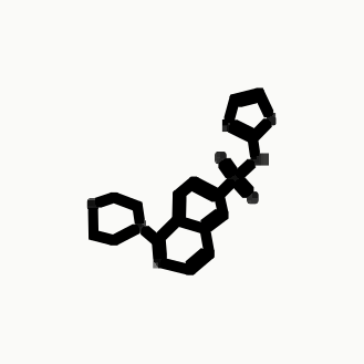 O=S(=O)(Nc1nccs1)c1ccc2c(N3CCOCC3)nccc2c1